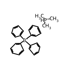 C[PH+](C)C.c1ccc([B-](c2ccccc2)(c2ccccc2)c2ccccc2)cc1